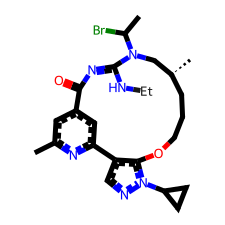 CCN/C1=N\C(=O)c2cc(C)nc(c2)-c2cnn(C3CC3)c2OCCC[C@@H](C)CN1C(C)Br